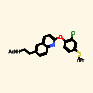 CCCSc1ccc(Oc2ccc3cc(CCNC(C)=O)ccc3n2)c(Cl)c1